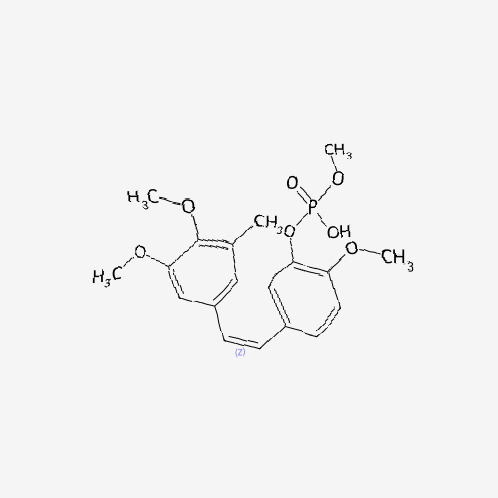 COc1ccc(/C=C\c2cc(C)c(OC)c(OC)c2)cc1OP(=O)(O)OC